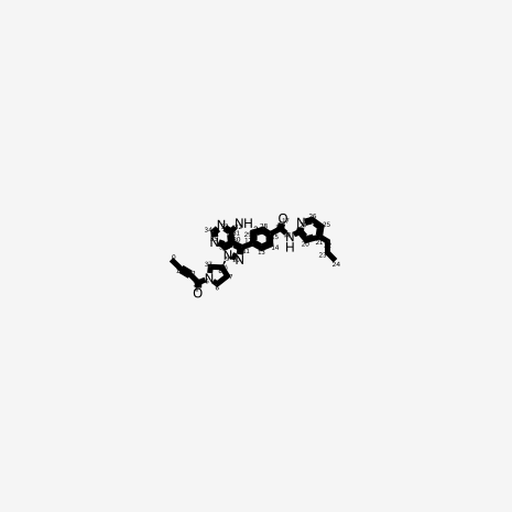 CC#CC(=O)N1CC[C@@H](n2nc(-c3ccc(C(=O)Nc4cc(CCC)ccn4)cc3)c3c(N)ncnc32)C1